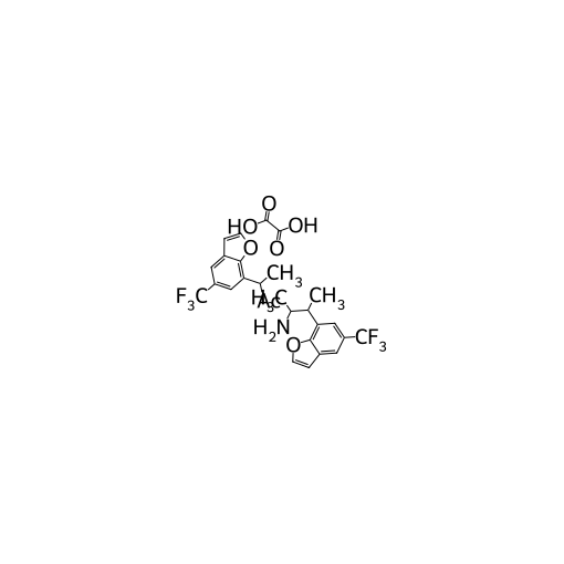 CC(=O)C(C)c1cc(C(F)(F)F)cc2ccoc12.CC(N)C(C)c1cc(C(F)(F)F)cc2ccoc12.O=C(O)C(=O)O